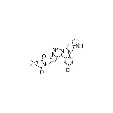 CC1(C)C2C(=O)N(Cc3cc4c(-c5cc(Cl)ccc5N5CCC6(CCCN6)C5)ncnn4c3)C(=O)C21